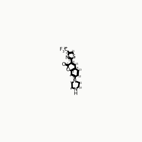 O=c1oc2cc(N3CCNCC3)ccc2cc1-c1nc(C(F)(F)F)cs1